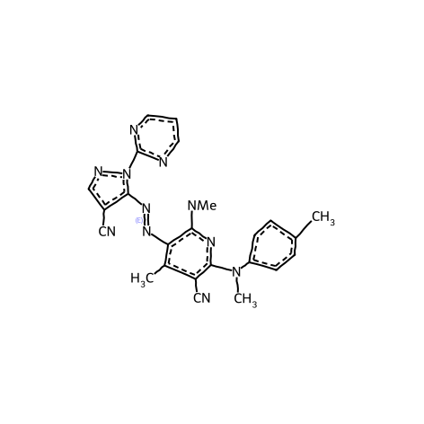 CNc1nc(N(C)c2ccc(C)cc2)c(C#N)c(C)c1/N=N/c1c(C#N)cnn1-c1ncccn1